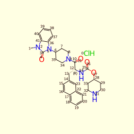 Cl.Cn1c(=O)n(C2CCN(C(=O)[C@@H](Cc3ccc4ccccc4c3)NC(=O)OC3CCNCC3)CC2)c2ccccc21